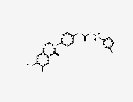 CNc1cc2ncn(-c3ccc(NC(=O)NS(=O)(=O)c4ccc(Cl)s4)cn3)c(=O)c2cc1Cl